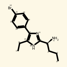 CCC[C@H](N)c1nc(-c2ccc(Br)cc2)c(CC)[nH]1